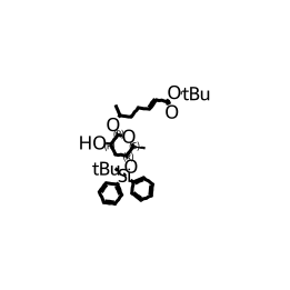 CC(CCC=CC(=O)OC(C)(C)C)O[C@@H]1O[C@@H](C)[C@H](O[Si](c2ccccc2)(c2ccccc2)C(C)(C)C)C[C@H]1O